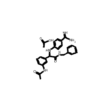 CC(=O)Nc1cccc(C(Nc2ccc(C(=N)N)cc2)C(=O)NCc2ccccc2)c1.CC(=O)O